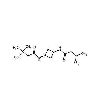 CC(C)CC(=O)N[C@H]1C[C@@H](NC(=O)CC(C)(C)C)C1